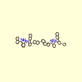 c1ccc(-c2ccc3c(c2)c2cc4ccccc4cc2n3-c2nnc(-c3ccc4ccc5c(-c6ccc7cc(-c8cccc9c8c8cc%10ccccc%10cc8n9-c8nnc(-c9cccc%10ccccc9%10)c9ccccc89)ccc7c6)cccc5c4c3)c3ccccc23)cc1